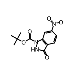 CC(C)(C)OC(=O)n1[nH]c(=O)c2ccc([N+](=O)[O-])cc21